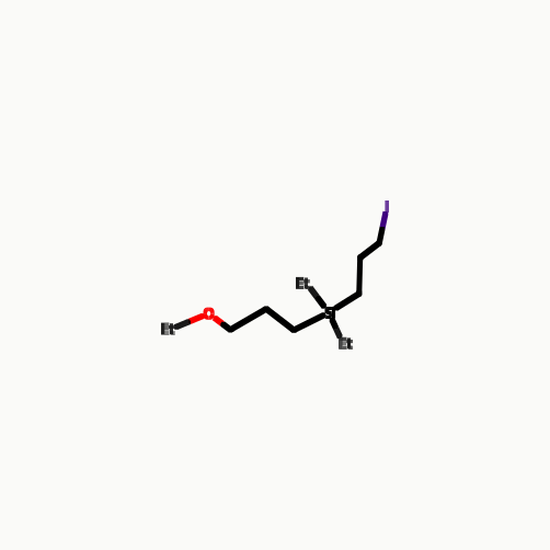 CCOCCC[Si](CC)(CC)CCCI